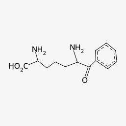 NC(CCCC(N)C(=O)c1ccccc1)C(=O)O